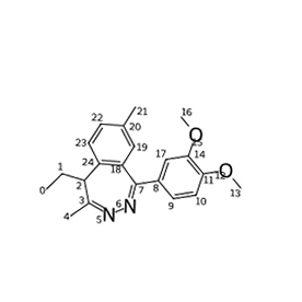 CCC1C(C)=NN=C(c2ccc(OC)c(OC)c2)c2cc(C)ccc21